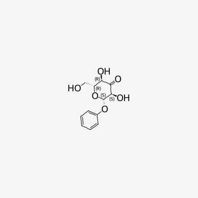 O=C1[C@@H](O)[C@H](Oc2ccccc2)O[C@H](CO)[C@H]1O